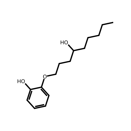 CCCCCC(O)CCCOc1ccccc1O